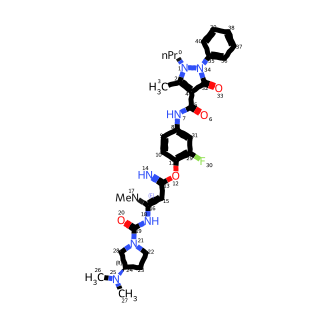 CCCn1c(C)c(C(=O)Nc2ccc(OC(=N)/C=C(\NC)NC(=O)N3CC[C@@H](N(C)C)C3)c(F)c2)c(=O)n1-c1ccccc1